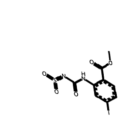 COC(=O)c1ccc(I)cc1NC(=O)N=S(=O)=O